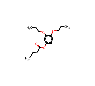 CCCOc1ccc(OC(=O)CCC)cc1OCCC